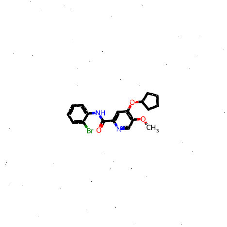 COc1cnc(C(=O)Nc2ccccc2Br)cc1OC1CCCC1